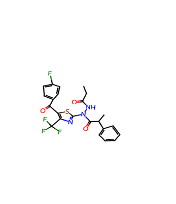 CCC(=O)NN(C(=O)C(C)c1ccccc1)c1nc(C(F)(F)F)c(C(=O)c2ccc(F)cc2)s1